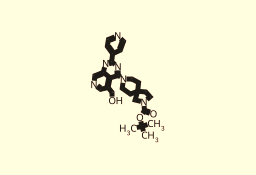 CC(C)(C)OC(=O)N1CCC2(CCN(c3nc(-c4ccncc4)nc4cncc(CO)c34)CC2)C1